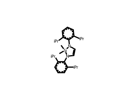 CC(C)c1cccc(C(C)C)c1N1C=CN(c2c(C(C)C)cccc2C(C)C)[Si]1(C)C